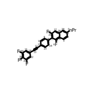 CCCc1ccc2c(F)c(-c3ccc(C#Cc4cc(F)c(F)c(F)c4)cc3)c(F)cc2c1